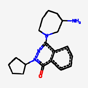 NC1CCCCN(c2nn(C3CCCC3)c(=O)c3ccccc23)C1